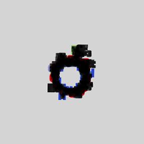 C=CC[C@H]1C(=O)N[C@@H]([C@@H](C)CC)C(=O)N(C)CC(=O)N(C)[C@H]2C/C=C\CCN(C2=O)[C@@H](CC2CCCCC2)C(=O)N(C)CC(=O)N[C@@H](CCc2cc(F)c(C(F)(F)F)c(F)c2)C(=O)N2C[C@H](OCC)C[C@H]2C(=O)NC2(CCC2)C(=O)N(C)[C@@H](C2CCCC2)C(=O)N(C)[C@H](C(=O)N(C)C)CC(=O)N1C